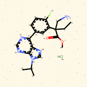 CCC(CN)(C(=O)OC)c1cc(-c2ncnc3c2ncn3C(C)C)ccc1F.Cl